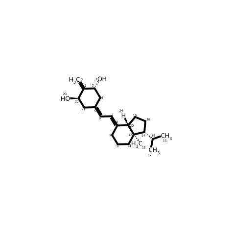 C=C1[C@H](O)CC(=C/C=C2\CCC[C@]3(C)[C@@H](C(C)C)CC[C@@H]23)C[C@H]1O